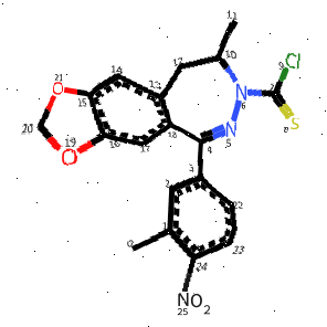 Cc1cc(C2=NN(C(=S)Cl)C(C)Cc3cc4c(cc32)OCO4)ccc1[N+](=O)[O-]